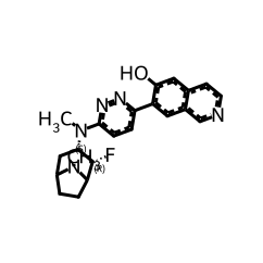 CN1C2CCC1[C@@H](F)[C@@H](N(C)c1ccc(-c3cc4cnccc4cc3O)nn1)C2